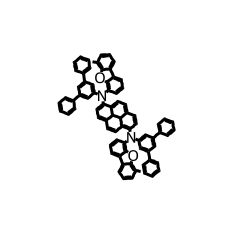 Cc1cccc2c1oc1c(N(C3=CC=C4C=CC5=C(N(c6cc(-c7ccccc7)cc(-c7ccccc7)c6)c6cccc7c6oc6c(C)cccc67)C=CC6=CC=C3C4C65)c3cc(-c4ccccc4)cc(-c4ccccc4)c3)cccc12